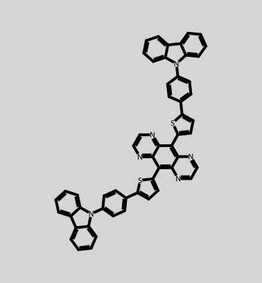 c1ccc2c(c1)c1ccccc1n2-c1ccc(-c2ccc(-c3c4nccnc4c(-c4ccc(-c5ccc(-n6c7ccccc7c7ccccc76)cc5)s4)c4nccnc34)s2)cc1